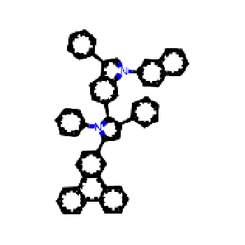 c1ccc(-c2cc(-c3ccc4c5ccccc5c5ccccc5c4c3)n(-c3ccccc3)c2-c2ccc3c(-c4ccccc4)cn(-c4ccc5ccccc5c4)c3c2)cc1